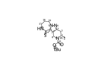 C[C@@H]1Cc2nn3c(c2CN1C(=O)OC(C)(C)C)C(=S)NCCC3